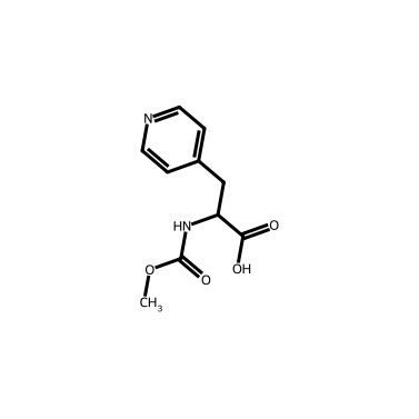 COC(=O)NC(Cc1ccncc1)C(=O)O